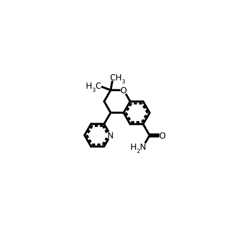 CC1(C)CC(c2ccccn2)c2cc(C(N)=O)ccc2O1